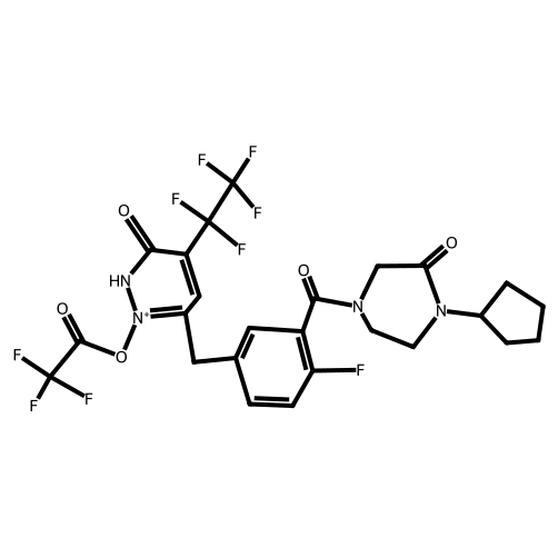 O=C(c1cc(Cc2cc(C(F)(F)C(F)(F)F)c(=O)[nH][n+]2OC(=O)C(F)(F)F)ccc1F)N1CCN(C2CCCC2)C(=O)C1